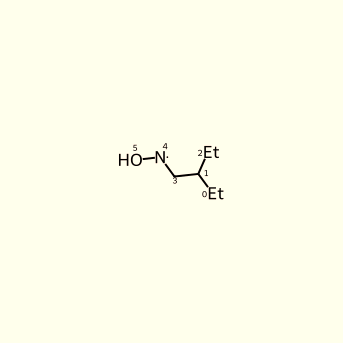 CCC(CC)C[N]O